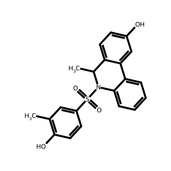 Cc1cc(S(=O)(=O)N2c3ccccc3-c3cc(O)ccc3C2C)ccc1O